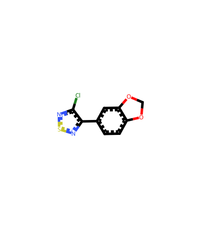 Clc1nsnc1-c1ccc2c(c1)OCO2